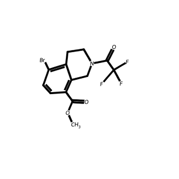 COC(=O)c1ccc(Br)c2c1CN(C(=O)C(F)(F)F)CC2